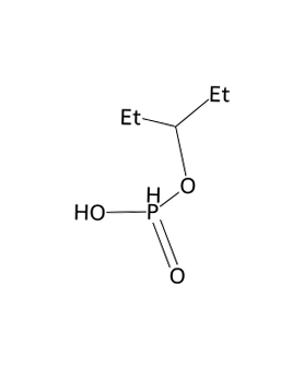 CCC(CC)O[PH](=O)O